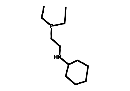 CCP(CC)CCNC1CCCCC1